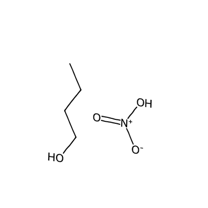 CCCCO.O=[N+]([O-])O